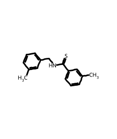 Cc1cccc(CNC(=S)c2cccc(C)c2)c1